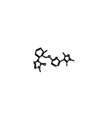 Cc1cccc(-n2nnn(C)c2=O)c1COc1cccc(-c2c(C)nn(C)c2C)n1